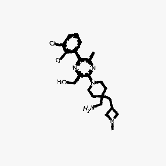 Cc1nc(N2CCC(CN)(CC3CN(C)C3)CC2)c(CO)nc1-c1cccc(Cl)c1Cl